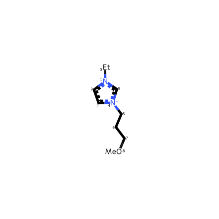 CCn1cc[n+](CCCOC)c1